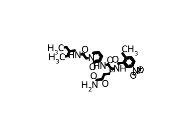 CCc1ccc([N+](=O)[O-])cc1C(=O)N[C@@H](CCC(=O)C(N)=O)C(=O)Nc1cccn(CC(=O)NCC(CC)CC)c1=O